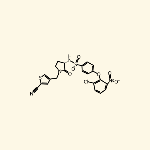 N#Cc1cc(CN2CC[C@H](NS(=O)(=O)c3ccc(Oc4c(Cl)cccc4[N+](=O)[O-])cc3)C2=O)cs1